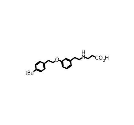 CC(C)(C)c1ccc(CCOc2cccc(CCNCCC(=O)O)c2)cc1